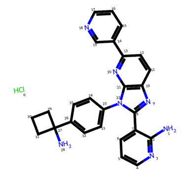 Cl.Nc1ncccc1-c1nc2ccc(-c3cccnc3)nc2n1-c1ccc(C2(N)CCC2)cc1